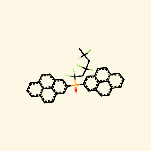 CC(F)(F)CC(F)(F)CC(F)(F)P(=O)(c1cc2ccc3cccc4ccc(c1)c2c34)c1cc2ccc3cccc4ccc(c1)c2c34